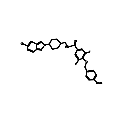 COc1ccc(COc2c(F)cc(C(=O)NCC3CCC(n4cc5cc(Cl)ncc5n4)CC3)cc2F)cc1